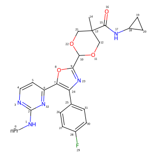 CCCNc1nccc(-c2oc(C3OCC(C)(C(=O)NC4CC4)CO3)nc2-c2ccc(F)cc2)n1